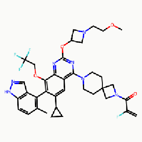 C=C(F)C(=O)N1CC2(CCN(c3nc(OC4CN(CCOC)C4)nc4c(OCC(F)(F)F)c(-c5c(C)ccc6[nH]ncc56)c(C5CC5)cc34)CC2)C1